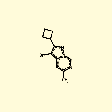 FC(F)(F)c1cc2c(Br)c(C3CCC3)nn2cn1